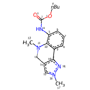 CCCCOC(=O)Nc1cccc2c1N(C)Cc1cn(C)nc1-2